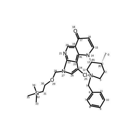 C[C@@H]1CCN(Cc2ccccc2)C[C@@H]1n1ccc(=O)c2cnc3c(c(Cl)cn3COCC[Si](C)(C)C)c21